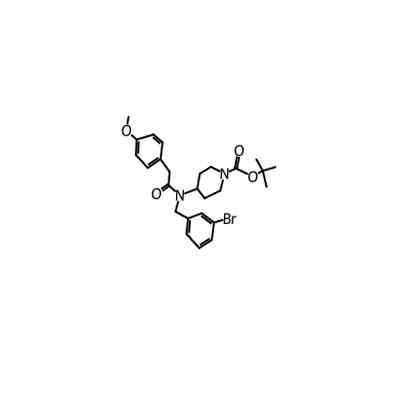 COc1ccc(CC(=O)N(Cc2cccc(Br)c2)C2CCN(C(=O)OC(C)(C)C)CC2)cc1